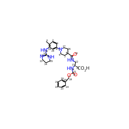 Cc1ccc(N2CCC(C(=O)NC[C@H](NC(=O)OCc3ccccc3)C(=O)O)CC2)cc1NC1=NCCCN1